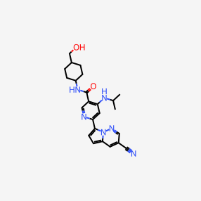 CC(C)Nc1cc(-c2ccc3cc(C#N)cnn23)ncc1C(=O)NC1CCC(CO)CC1